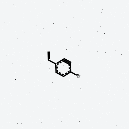 C=Cc1c#cc(Br)cc1